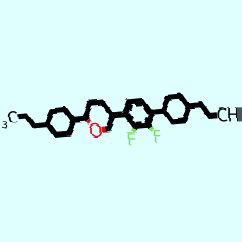 CCCC1CCC(c2ccc(C3CCC(C4CCC(CCC)CC4)OC3)c(F)c2F)CC1